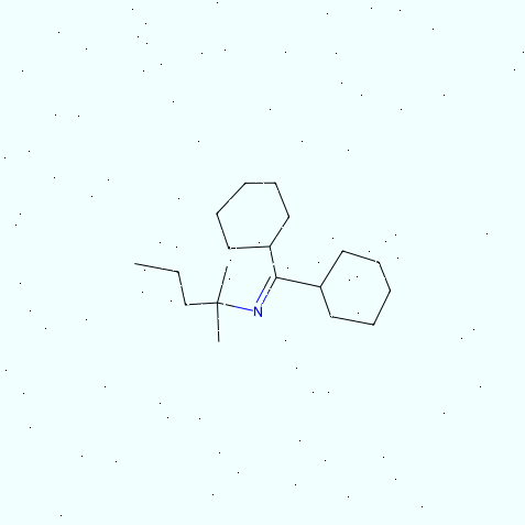 CCCC(C)(C)N=C(C1CCCCC1)C1CCCCC1